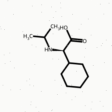 CC(C)N[C@@H](C(=O)O)C1CCCCC1